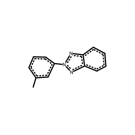 Cc1cccc(-n2nc3ccccc3n2)c1